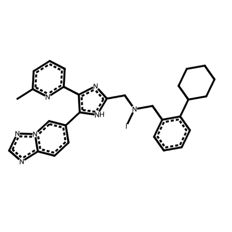 Cc1cccc(-c2nc(CN(I)Cc3ccccc3C3CCCCC3)[nH]c2-c2ccc3ncnn3c2)n1